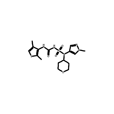 Cc1csc(C)c1NC(=O)NS(=O)(=O)N(c1cnn(C)c1)C1CCOCC1